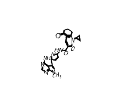 Cn1cc(-c2ccc(NC(=O)c3cc4c(n(C5CC5)c3=O)CCCC4=O)nc2)c2c(N)ncnc21